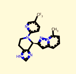 Cc1cccc2cc([C@H]3c4nc[nH]c4CCN3c3ccc(C(F)(F)F)cn3)nn12